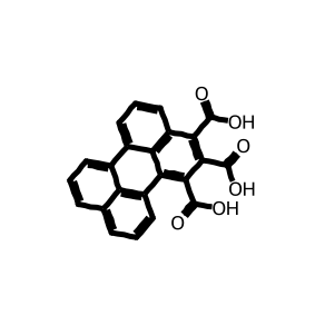 O=C(O)c1c(C(=O)O)c2cccc3c4cccc5cccc(c(c1C(=O)O)c23)c54